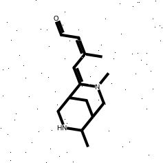 CC(=C/C=O)/C=C1/C2CNC(C)C(C2)CN1C